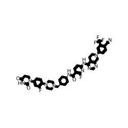 N#Cc1ccc(N2CCc3c(ncnc3Nc3ccc(C(=O)N[C@H]4CC[C@H](CN5CCN(c6ccc(N7CCC(=O)NC7=O)cc6F)CC5)CC4)c(F)n3)C2)cc1C(F)(F)F